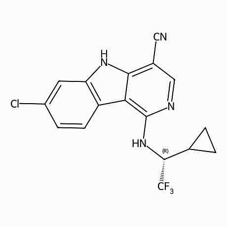 N#Cc1cnc(N[C@H](C2CC2)C(F)(F)F)c2c1[nH]c1cc(Cl)ccc12